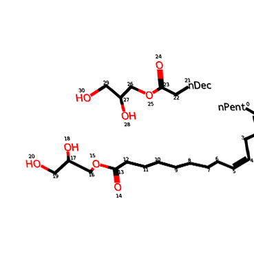 CCCCC/C=C\C/C=C\CCCCCCCC(=O)OCC(O)CO.CCCCCCCCCCCC(=O)OCC(O)CO